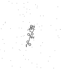 C=CC(=O)OCCNC(=O)OC1CC(C)(C)N(O)C(C)(C)C1